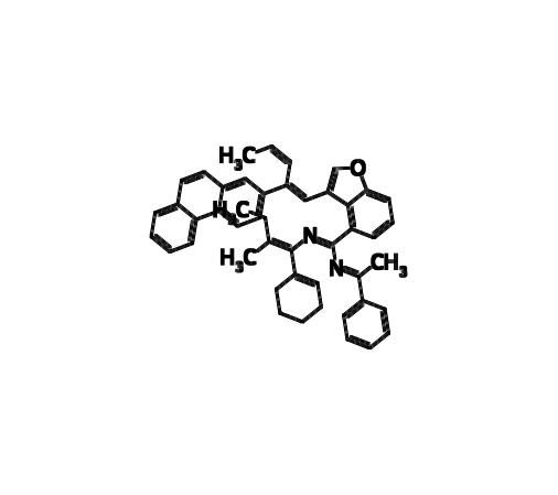 C/C=C\C(=C/c1coc2cccc(C(=N/C(C3=CCCCC3)=C(/C)CC)/N=C(\C)c3ccccc3)c12)c1ccc2c(ccc3ccccc32)c1